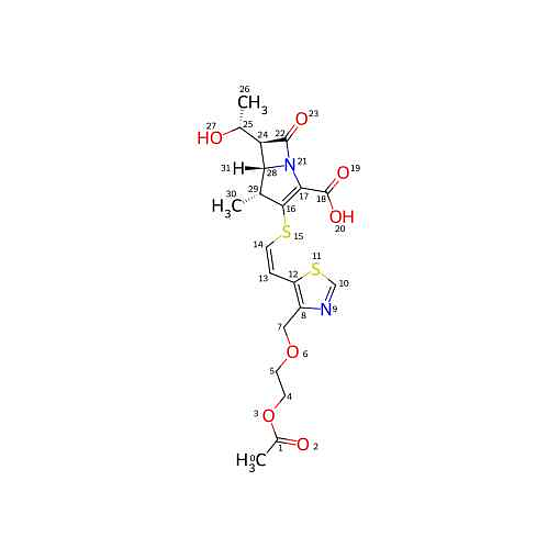 CC(=O)OCCOCc1ncsc1/C=C\SC1=C(C(=O)O)N2C(=O)[C@H]([C@@H](C)O)[C@H]2[C@H]1C